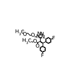 CCOC(=O)C(=C(c1ccc(F)cc1)c1ccc(F)cc1)c1nnnn1COCCOC